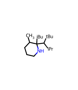 CCC(C)C1(C(C(C)C)C(C)(C)C)NCCCC1C